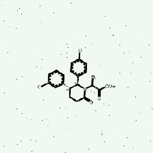 CCC(C(=O)OC)N1C(=O)CC[C@H](c2cccc(Cl)c2)[C@H]1c1ccc(Cl)cc1